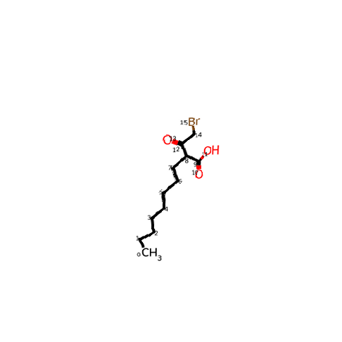 CCCCCCCCC(C(=O)O)C(=O)CBr